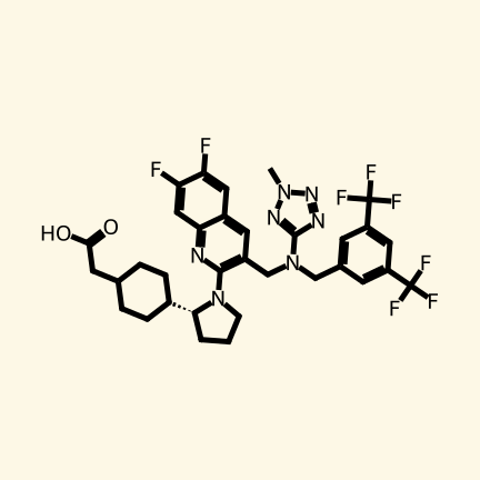 Cn1nnc(N(Cc2cc(C(F)(F)F)cc(C(F)(F)F)c2)Cc2cc3cc(F)c(F)cc3nc2N2CCC[C@@H]2C2CCC(CC(=O)O)CC2)n1